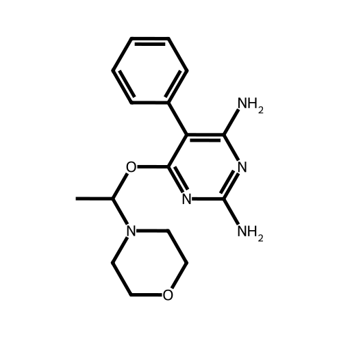 CC(Oc1nc(N)nc(N)c1-c1ccccc1)N1CCOCC1